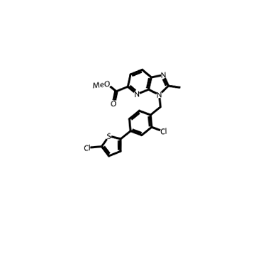 COC(=O)c1ccc2nc(C)n(Cc3ccc(-c4ccc(Cl)s4)cc3Cl)c2n1